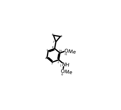 CONc1cccc(C2CC2)c1OC